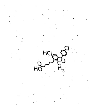 Cc1c(CCCCCC(=O)O)cccc1C(=O)c1ccc(Cl)cc1.Cl